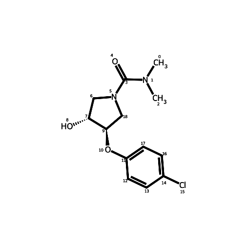 CN(C)C(=O)N1C[C@@H](O)[C@H](Oc2ccc(Cl)cc2)C1